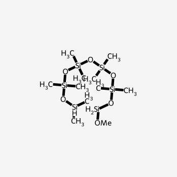 CO[SiH2]O[Si](C)(C)O[Si](C)(C)O[Si](C)(C)O[Si](C)(C)O[SiH](C)C